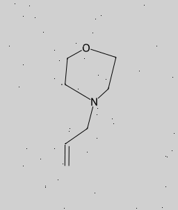 C=CCN1[CH]COCC1